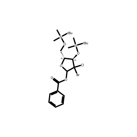 CC(C)(C)[Si](C)(C)OC[C@H]1OC(OC(=O)c2ccccc2)C(Cl)(Br)[C@@H]1O[Si](C)(C)C(C)(C)C